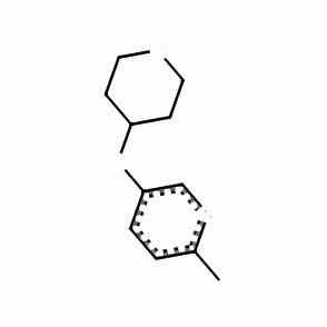 Cc1ccc(OC2CCOCC2)cn1